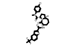 CN(C(=O)[C@@H]1CC[C@H]2CCC[C@H](NC(=O)c3cc4cc(C(C)(F)F)ccc4s3)C(=O)N21)c1ccc(Cl)cc1